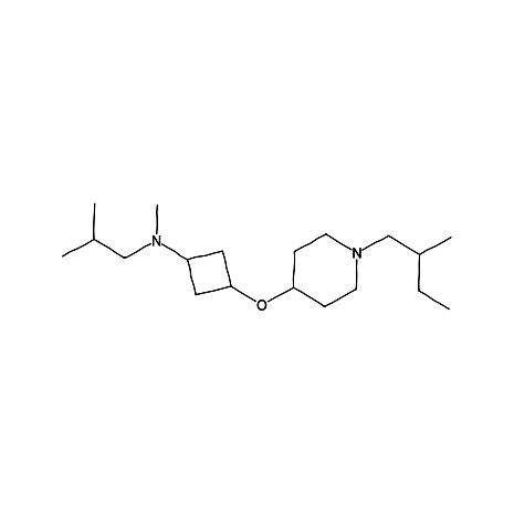 CCC(C)CN1CCC(OC2CC(N(C)CC(C)C)C2)CC1